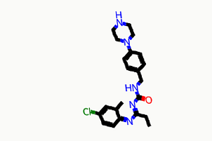 CCC(=N\C(=O)NCc1ccc(N2CCNCC2)cc1)/N=C1/C=CC(Cl)=CC1C